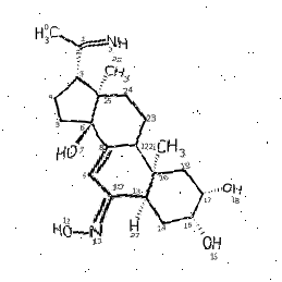 CC(=N)[C@H]1CC[C@@]2(O)C3=C/C(=N\O)[C@@H]4C[C@@H](O)[C@@H](O)C[C@]4(C)C3CC[C@]12C